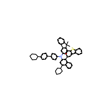 CC1(C)c2ccccc2-c2cc(N(c3ccc(-c4ccc(C5CCCCC5)cc4)cc3)c3cc(C4CCCCC4)c4ccccc4c3-c3ccc4sc5ccccc5c4c3)ccc21